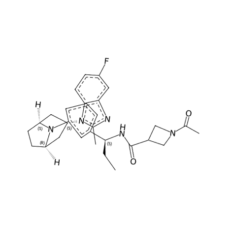 CC[C@H](NC(=O)C1CN(C(C)=O)C1)c1cccc(N2[C@@H]3CC[C@H]2C[C@H](n2c(C)nc4cc(F)ccc42)C3)c1